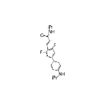 C/C(=C\c1c(F)cc(-c2ccc(NC(C)C)cc2)cc1F)C(=O)NC(C)C